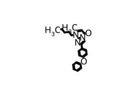 CCCCCn1c(C)cc(=O)n2cc(-c3ccc(Oc4ccccc4)cc3)nc12